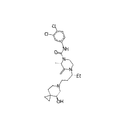 C=C1[C@H](C)N(C(=O)Nc2ccc(Cl)c(Cl)c2)CCN1[C@H](CC)CCN1CCC2(CC2)[C@H](O)C1